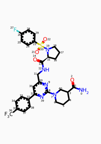 NC(=O)C1CCCN(c2nc(CNC(=O)[C@@H]3CCCN3S(=O)(=O)c3ccc(F)cc3)cc(-c3ccc(C(F)(F)F)cc3)n2)C1